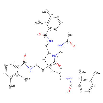 COc1cccc(C(=O)NCCCC(CCCNC(=O)c2cccc(OC)c2OC)(CCNC(=O)c2cccc(OC)c2OC)C(=O)NCNC(=O)C(C)(C)C)c1OC